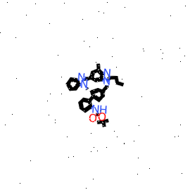 CCCc1nc2c(C)cc(-c3nc4ccccc4n3C)cc2n1Cc1ccc(-c2ccccc2NC(=O)OC(C)(C)C)cc1